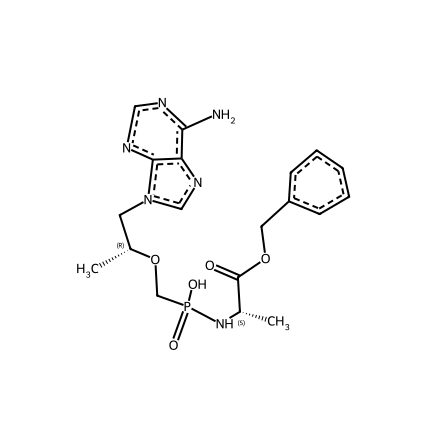 C[C@H](Cn1cnc2c(N)ncnc21)OCP(=O)(O)N[C@@H](C)C(=O)OCc1ccccc1